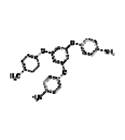 CC1=CC=C(Oc2cc(Oc3ccc(N)cc3)cc(Oc3ccc(N)cc3)c2)CC1